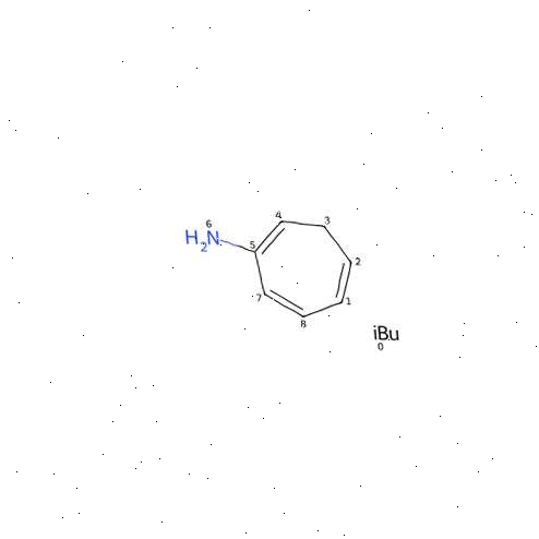 CC[C@H](C)C1=CCC=C(N)C=C1